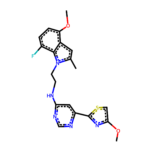 COc1csc(-c2cc(NCCn3c(C)cc4c(OC)ccc(F)c43)ncn2)n1